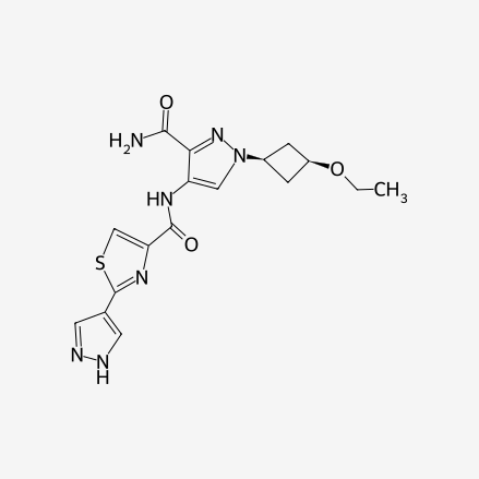 CCO[C@H]1C[C@@H](n2cc(NC(=O)c3csc(-c4cn[nH]c4)n3)c(C(N)=O)n2)C1